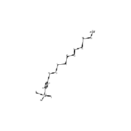 C[Si](C)(C)C#CCCCCCCCCCCBr